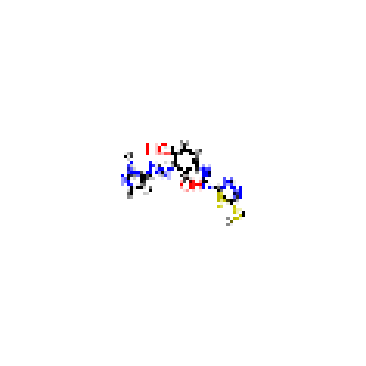 CSc1nnc(/N=N/c2ccc(O)c(/N=N/c3ccnn3C)c2O)s1